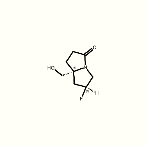 [2H][C@@]1(F)CN2C(=O)CC[C@]2(CO)C1